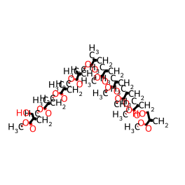 C=C(C)C(=O)OC.C=C(C)C(=O)OC.C=C(C)C(=O)OC.C=C(C)C(=O)OC.C=C(C)C(=O)OC.C=C(C)C(=O)OC.C=C(C)C(=O)OC.C=C(C)C(=O)OC.C=C(CO)C(=O)OC.C=C(CO)C(=O)OC